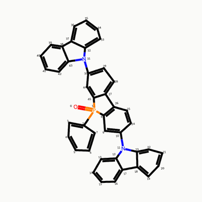 O=P1(c2ccccc2)c2cc(-n3c4ccccc4c4ccccc43)ccc2-c2ccc(-n3c4ccccc4c4ccccc43)cc21